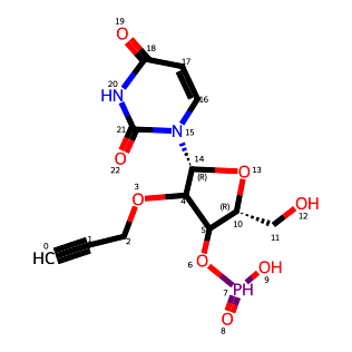 C#CCOC1C(O[PH](=O)O)[C@@H](CO)O[C@H]1n1ccc(=O)[nH]c1=O